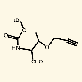 C#CCOC(C)C(C=O)NC(=O)OC(C)(C)C